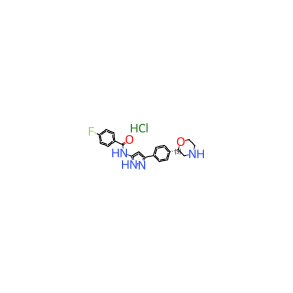 Cl.O=C(Nc1cc(-c2ccc([C@H]3CNCCO3)cc2)n[nH]1)c1ccc(F)cc1